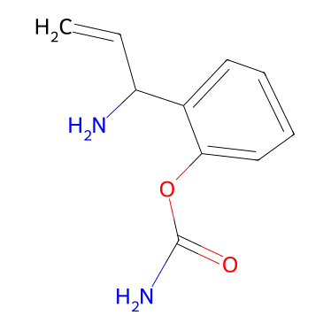 C=CC(N)c1ccccc1OC(N)=O